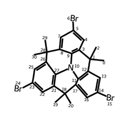 CC1(C)c2cc(Br)cc3c2N2c4c1cc(Br)cc4C(C)(C)c1cc(Br)cc(c12)C3(C)C